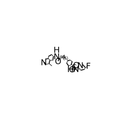 Cc1cncc2ccc(NC(=O)[C@@H]3C[C@@H]3c3ccc(S(=O)(=O)Nc4ccc(F)cn4)cc3)cc12